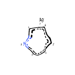 [Ag].c1ccncc1